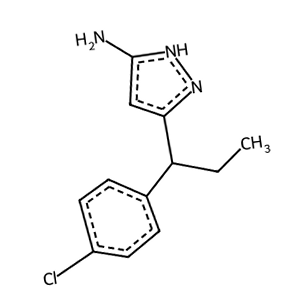 CCC(c1ccc(Cl)cc1)c1cc(N)[nH]n1